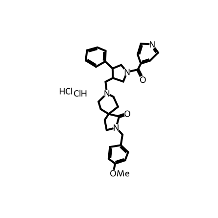 COc1ccc(CN2CCC3(CCN(CC4CN(C(=O)c5ccncc5)CC4c4ccccc4)CC3)C2=O)cc1.Cl.Cl